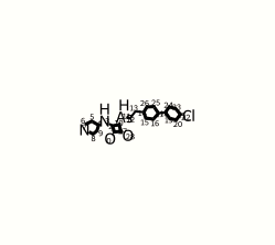 O=c1c(Nc2ccncc2)c([AsH]CCc2ccc(-c3ccc(Cl)cc3)cc2)c1=O